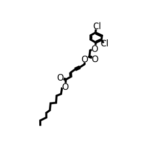 CCCCCCCCCCOC(=O)/C=C/C#CCOC(=O)COc1ccc(Cl)cc1Cl